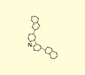 c1ccc2cc(-c3ccc4c(c3)-c3cc(-c5ccc6ccccc6c5)ccc3[N]4)ccc2c1